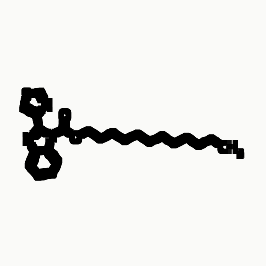 CCCCCCCCCCCCOC(=O)n1c(-c2cscn2)nc2ccccc21